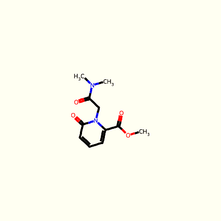 COC(=O)c1cccc(=O)n1CC(=O)N(C)C